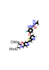 COCCN(Cc1ccc(-c2cc3nccc(Oc4ccc(NC(=O)NC5CC5)cc4F)c3s2)nc1)C(=O)COC